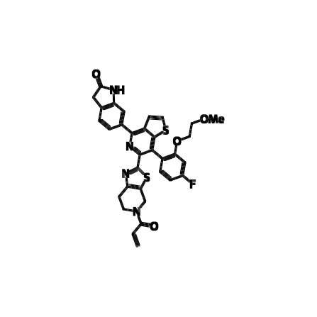 C=CC(=O)N1CCc2nc(-c3nc(-c4ccc5c(c4)NC(=O)C5)c4ccsc4c3-c3ccc(F)cc3OCCOC)sc2C1